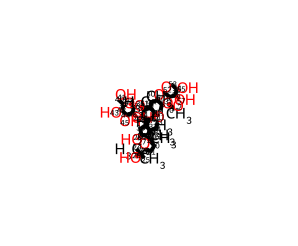 CC(=O)OC1C(O[C@H]2CC[C@]34O[C@]35CC[C@]3(C)C(C6(C)CC[C@@H](C(C)(C)O)O6)[C@@H](O)CC3(C)[C@@H]5CC(OC3OC(CO)C(O)C(O)C3O)C4C2(C)C)OCC(O)C1O